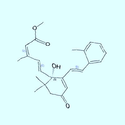 COC(=O)/C=C(C)\C=C\[C@@]1(O)C(/C=C/c2ccccc2C)=CC(=O)CC1(C)C